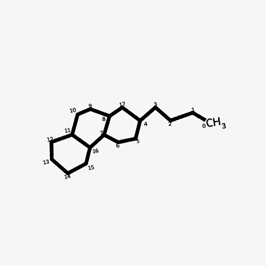 CCCCC1CCC2C(CCC3CCCCC32)C1